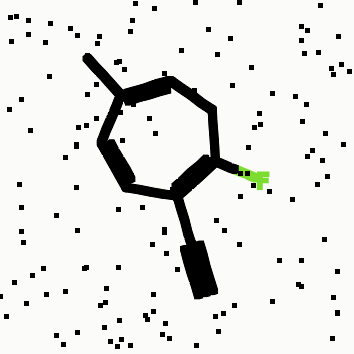 C#CC1=C(F)CC=C(C)C=C1